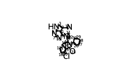 N#Cc1c[nH]c2ncnc(N3CC[C@H]3c3cn4ccc(Cl)c4c(=O)n3-c3ccccc3)c12